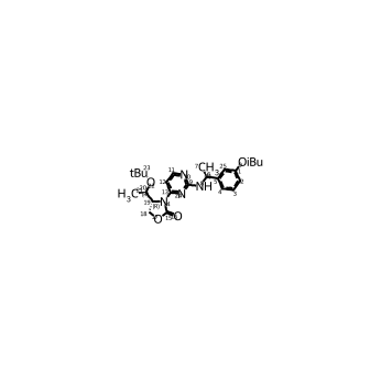 CC(C)COc1cccc([C@H](C)Nc2nccc(N3C(=O)OC[C@@H]3[C@@H](C)OC(C)(C)C)n2)c1